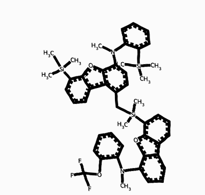 CN(c1ccccc1OC(F)(F)F)c1cccc2c1oc1c([Si](C)(C)Cc3ccc(N(C)c4ccccc4[Si](C)(C)C)c4oc5c([Si](C)(C)C)cccc5c34)cccc12